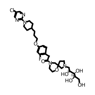 O=C(Cc1ccc(OCCCC2CCN(c3ncc(Cl)cn3)CC2)cc1F)N1CCOC2(CCN(C[C@H](O)[C@H](O)[C@H](O)CO)C2)C1